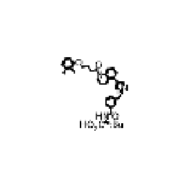 Cc1cccc(OCCCC(=O)N2CCCc3c(-c4cnn(Cc5cccc(C(=O)NC(C(=O)O)C(C)(C)C)c5)c4)cccc32)c1C